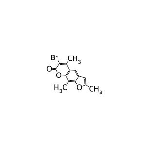 Cc1cc2cc3c(C)c(Br)c(=O)oc3c(C)c2o1